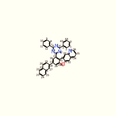 c1ccc(-c2nc(-c3ccccc3)nc(-c3cc(-c4ccc5ccccc5c4)cc4oc5cc6cccnc6cc5c34)n2)cc1